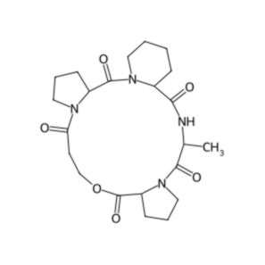 CC1NC(=O)C2CCCCN2C(=O)C2CCCN2C(=O)CCOC(=O)C2CCCN2C1=O